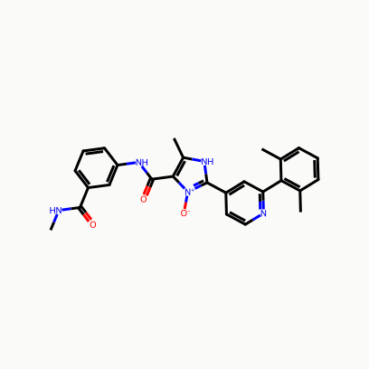 CNC(=O)c1cccc(NC(=O)c2c(C)[nH]c(-c3ccnc(-c4c(C)cccc4C)c3)[n+]2[O-])c1